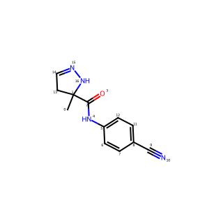 CC1(C(=O)Nc2ccc(C#N)cc2)CC=NN1